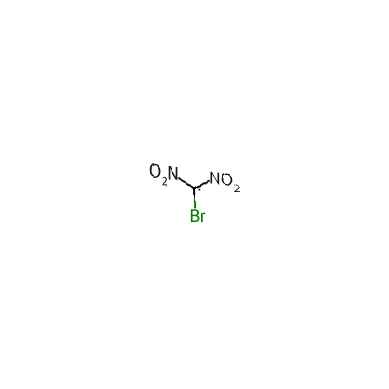 O=[N+]([O-])[C](Br)[N+](=O)[O-]